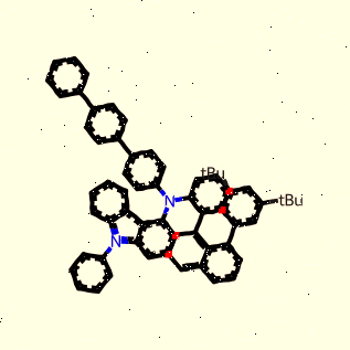 CC(C)(C)c1cc(-c2cccc3c2=C(c2ccccc2N(c2ccc(-c4ccc(-c5ccccc5)cc4)cc2)c2cccc4c2c2ccccc2n4-c2ccccc2)CCC=3)cc(C(C)(C)C)c1